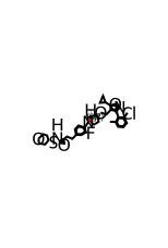 Cc1cccc(Cl)c1-c1noc(C2CC2)c1CO[C@@H]1CC2C[C@H]1CN2c1ccc(CCC(=O)NSC2CCOCC2)cc1F